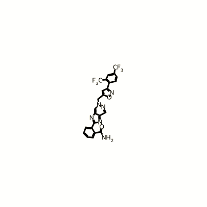 NC(=O)c1ccccc1-c1nc2cnn(Cc3cc(-c4ccc(C(F)(F)F)cc4C(F)(F)F)no3)cc-2n1